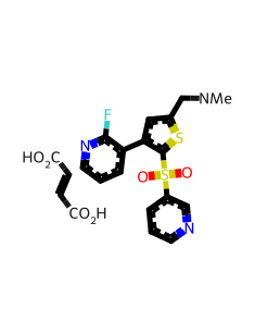 CNCc1cc(-c2cccnc2F)c(S(=O)(=O)c2cccnc2)s1.O=C(O)C=CC(=O)O